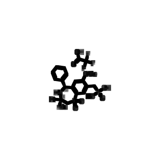 CCCC[C@]1(CC)CS(=O)(=O)c2cc(CP(=O)(O)O)c(OC)cc2[C@H](c2ccccc2)N1.O=C(O)C(F)(F)F